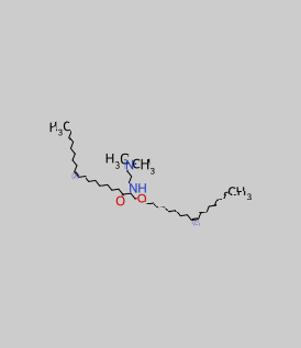 CCCCCCCC/C=C\CCCCCCCCOCC(NCCCN(C)C)C(=O)CCCCCCC/C=C\CCCCCCCC